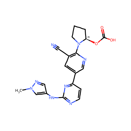 Cn1cc(Nc2nccc(-c3cnc(N4CCC[C@H]4OC(=O)O)c(C#N)c3)n2)cn1